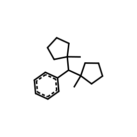 CC1(C(c2ccccc2)C2(C)CCCC2)CCCC1